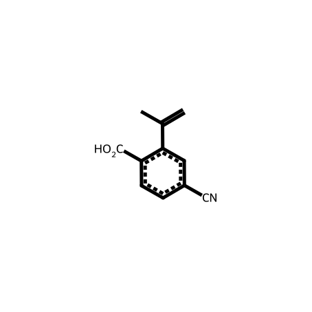 C=C(C)c1cc(C#N)ccc1C(=O)O